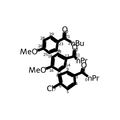 CCCC(=O)c1ccc(Cl)cc1.CCCC(=O)c1ccc(OC)cc1.CCCCC(=O)c1ccc(OC)cc1